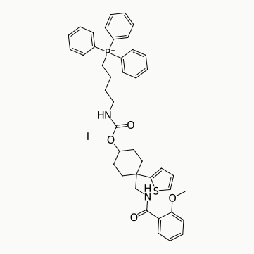 COc1ccccc1C(=O)NCC1(c2cccs2)CCC(OC(=O)NCCCC[P+](c2ccccc2)(c2ccccc2)c2ccccc2)CC1.[I-]